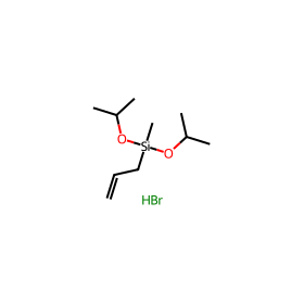 Br.C=CC[Si](C)(OC(C)C)OC(C)C